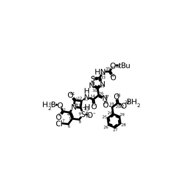 BOC(=O)C1=C(CCl)C[S+]([O-])[C@@H]2[C@H](NC(=O)/C(=N\O[C@H](C(=O)OB)c3ccccc3)c3nsc(NC(=O)OC(C)(C)C)n3)C(=O)N12